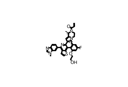 C=CC(=O)N1CCn2nc(-c3nc(-c4ccc5ncn(C)c5c4)c4ccsc4c3-c3c(F)cc(F)cc3OCCO)cc2[C@H]1C